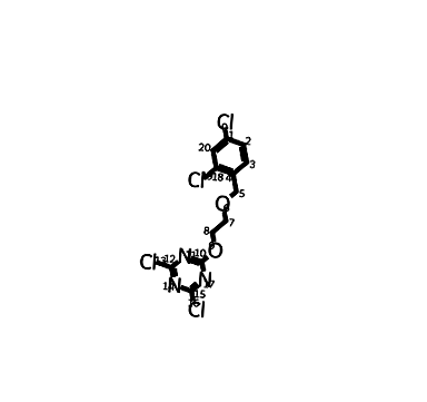 Clc1ccc(COCCOc2nc(Cl)nc(Cl)n2)c(Cl)c1